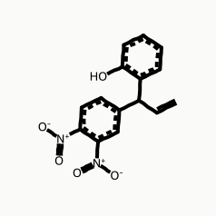 C=CC(c1ccc([N+](=O)[O-])c([N+](=O)[O-])c1)c1ccccc1O